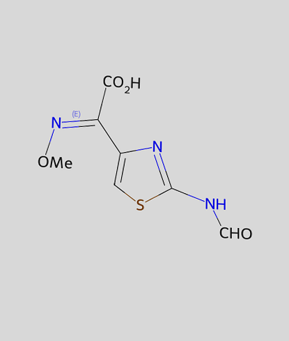 CO/N=C(/C(=O)O)c1csc(NC=O)n1